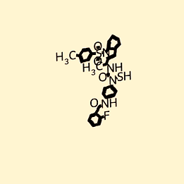 Cc1ccc(S(=O)(=O)n2c(C(C)NC(=O)N(S)c3ccc(NC(=O)c4ccccc4F)cc3)cc3ccccc32)cc1